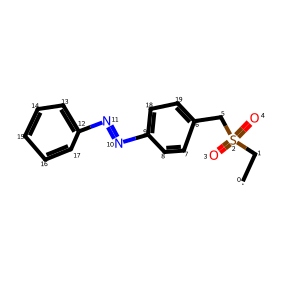 [CH2]CS(=O)(=O)Cc1ccc(N=Nc2ccccc2)cc1